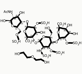 CC(=O)N[C@@H]1[C@@H](O)[C@H](O[C@@H]2O[C@H](C(=O)O)[C@@H](O[C@@H]3O[C@H](CO)[C@@H](O[C@H]4O[C@@H](C(=O)O)[C@H](O)[C@@H](O)[C@@H]4OS(=O)(=O)O)[C@H](OS(=O)(=O)O)[C@H]3NS(=O)(=O)O)[C@H](O)[C@H]2OS(=O)(=O)O)[C@H](COS(=O)(=O)O)O[C@H]1O.OCCOCCO